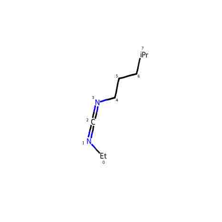 CCN=C=NCCCC(C)C